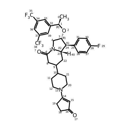 C[C@@H](O[C@H]1CN2C(=O)CC(C3CCN(C4=CC(=O)CC4)CC3)C[C@H]2[C@@H]1c1ccc(F)cc1)c1cc(C(F)(F)F)cc(C(F)(F)F)c1